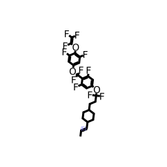 C/C=C/C1CCC(CCC(F)(F)Oc2cc(F)c(C(F)(F)Oc3cc(F)c(OC(F)=C(F)F)c(F)c3)c(F)c2)CC1